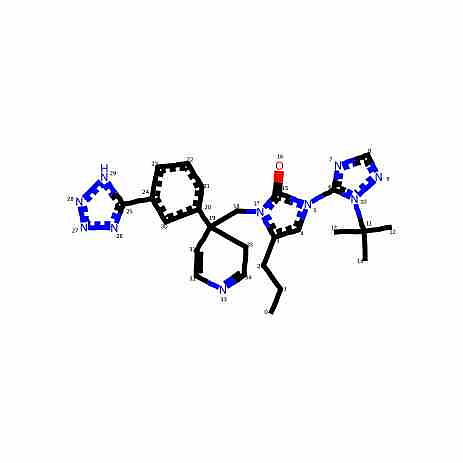 CCCc1cn(-c2ncnn2C(C)(C)C)c(=O)n1CC1(c2cccc(-c3nnn[nH]3)c2)C=CN=CC1